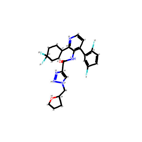 O=C(Nc1c(-c2cc(F)ccc2F)ccnc1C1CCC(F)(F)CC1)c1cn(CC2CCCO2)nn1